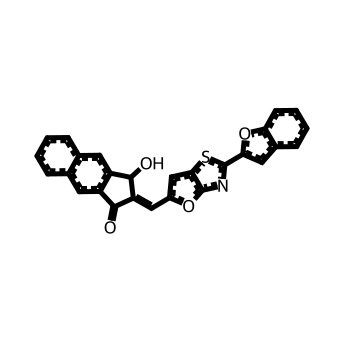 O=C1/C(=C/c2cc3sc(-c4cc5ccccc5o4)nc3o2)C(O)c2cc3ccccc3cc21